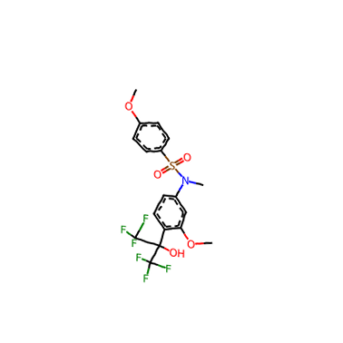 COc1ccc(S(=O)(=O)N(C)c2ccc(C(O)(C(F)(F)F)C(F)(F)F)c(OC)c2)cc1